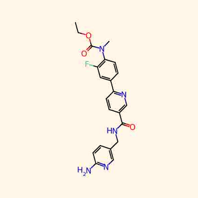 CCOC(=O)N(C)c1ccc(-c2ccc(C(=O)NCc3ccc(N)nc3)cn2)cc1F